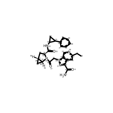 CCc1cc2c(C(N)=O)nn(CC(=O)N3[C@@H]4C[C@@H]4C[C@H]3C(=O)NC3CC3c3ccccc3)c2cn1